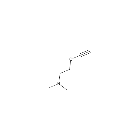 C#COCCN(C)C